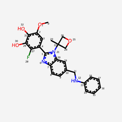 COc1cc(-c2nc3ccc(CNc4ccccc4)cc3n2C2(C)COC2)c(F)c(O)c1O